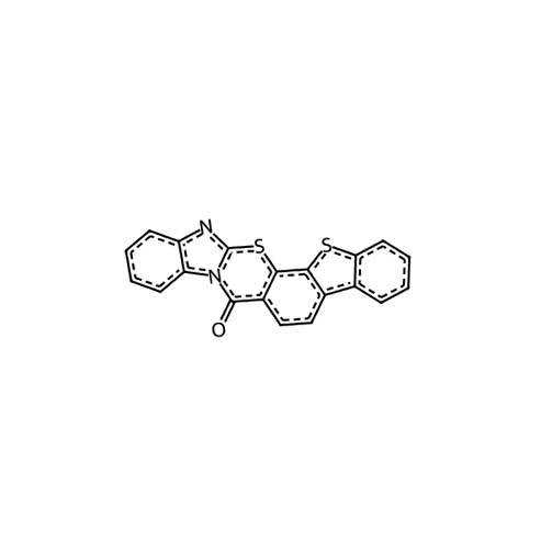 O=c1c2ccc3c4ccccc4sc3c2sc2nc3ccccc3n12